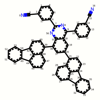 N#Cc1cccc(-c2nc(-c3cccc(C#N)c3)c3cc(-c4ccc5c6c(cccc46)-c4ccccc4-5)cc(-c4ccc5c6c(cccc46)-c4ccccc4-5)c3n2)c1